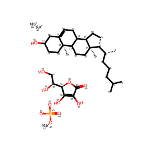 CC(C)CCC[C@@H](C)[C@H]1CCC2C3CC=C4CC(O)CC[C@]4(C)C3CC[C@@]21C.O=C1O[C@H]([C@@H](O)CO)C(O)=C1O.O=P([O-])([O-])[O-].[Na+].[Na+].[Na+]